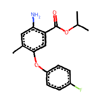 Cc1cc(N)c(C(=O)OC(C)C)cc1Oc1ccc(F)cc1